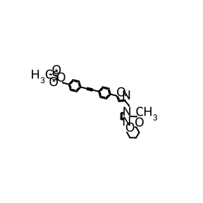 C[C@H](OC1CCCCO1)c1nccn1Cc1cc(-c2ccc(C#Cc3ccc(COS(C)(=O)=O)cc3)cc2)on1